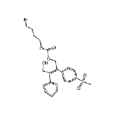 CS(=O)(=O)c1ccc(/C(COC(=O)OCCCCBr)=C(/CO)c2ccccc2)cc1